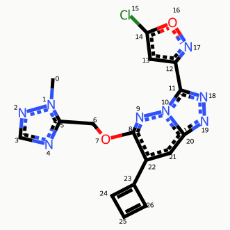 Cn1ncnc1COc1nn2c(-c3cc(Cl)on3)nnc2cc1C1=CC=C1